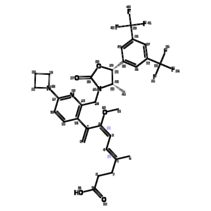 C=C(/C(=C\C=C(/C)CCC(=O)O)OC)c1ccc(N2CCC2)nc1CN1C(=O)O[C@H](c2cc(C(F)(F)F)cc(C(F)(F)F)c2)[C@@H]1C